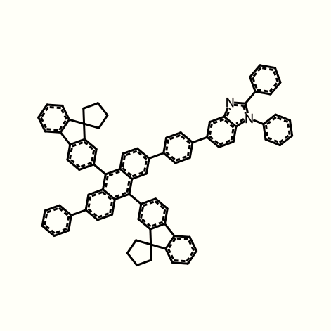 c1ccc(-c2ccc3c(-c4ccc5c(c4)C4(CCCC4)c4ccccc4-5)c4cc(-c5ccc(-c6ccc7c(c6)nc(-c6ccccc6)n7-c6ccccc6)cc5)ccc4c(-c4ccc5c(c4)C4(CCCC4)c4ccccc4-5)c3c2)cc1